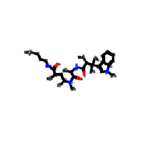 CN[C@H](C(=O)NC(C(=O)N(C)[C@H](/C=C(\C)C(=O)NCCCC(=O)O)C(C)C)C(C)(C)C)C(C)(C)c1cn(C)c2ccccc12